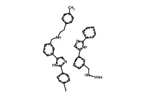 CCCCCCNCc1cccc(-c2cnc(-c3ccccc3)[nH]2)c1.Cc1ccc(CCNCc2cccc(-c3cnc(-c4ccc(F)cc4)[nH]3)c2)cc1